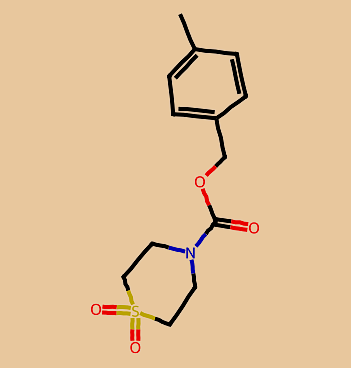 Cc1ccc(COC(=O)N2CCS(=O)(=O)CC2)cc1